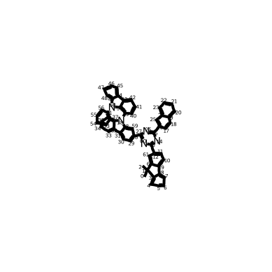 CC1(C)c2ccccc2-c2ccc(-c3nc(-c4ccc5ccccc5c4)nc(-c4ccc5c6ccccc6n(-c6cccc7c8ccccc8n(-c8ccccc8)c67)c5c4)n3)cc21